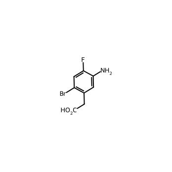 Nc1cc(CC(=O)O)c(Br)cc1F